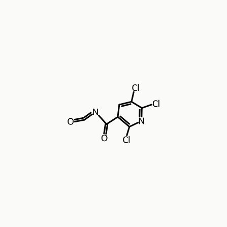 O=C=NC(=O)c1cc(Cl)c(Cl)nc1Cl